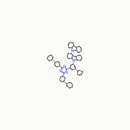 c1ccc(-c2ccc(-c3nc(-c4cccc(-c5ccccc5)c4)nc(-c4cc(-c5ccccc5)cc(-n5c6ccccc6c6c(-n7c8ccccc8c8ccccc87)cccc65)c4)n3)cc2)cc1